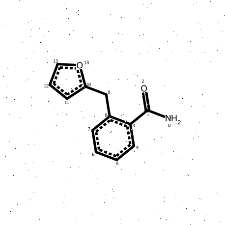 NC(=O)c1ccccc1Cc1ccco1